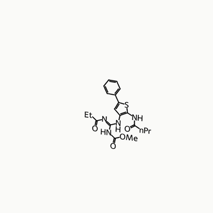 CCCC(=O)Nc1sc(-c2ccccc2)cc1NC(=NC(=O)CC)NC(=O)OC